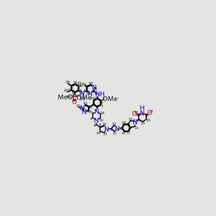 COc1cc(N2CCN(CC3=CN(C4CN(c5ccc6c(c5)CN(C5CCC(=O)NC5=O)C6)C4)CC3)CC2)c(-c2cnn(C)c2)cc1Nc1ncc(Br)c(Nc2ccc(C)c(C)c2P(=O)(OC)OC)n1